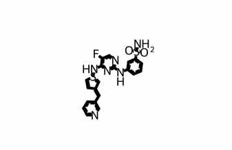 NS(=O)(=O)c1cccc(Nc2ncc(F)c(NS3=CC(=Cc4cccnc4)C=C3)n2)c1